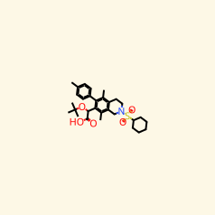 Cc1ccc(-c2c(C)c3c(c(C)c2C(OC(C)(C)C)C(=O)O)CN(S(=O)(=O)C2CCCCC2)CC3)cc1